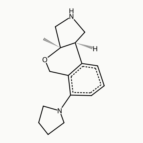 C[C@]12CNC[C@H]1c1cccc(N3CCCC3)c1CO2